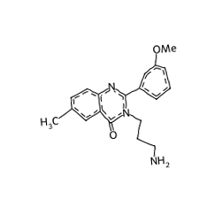 COc1cccc(-c2nc3ccc(C)cc3c(=O)n2CCCN)c1